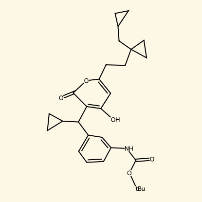 CC(C)(C)OC(=O)Nc1cccc(C(c2c(O)cc(CCC3(CC4CC4)CC3)oc2=O)C2CC2)c1